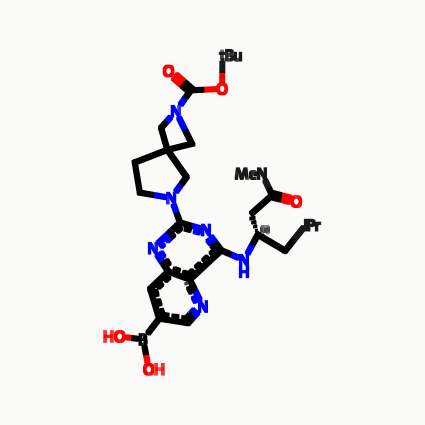 CNC(=O)C[C@H](CC(C)C)Nc1nc(N2CCC3(CN(C(=O)OC(C)(C)C)C3)C2)nc2cc(B(O)O)cnc12